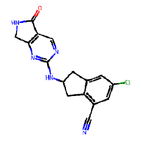 N#Cc1cc(Cl)cc2c1CC(Nc1ncc3c(n1)CNC3=O)C2